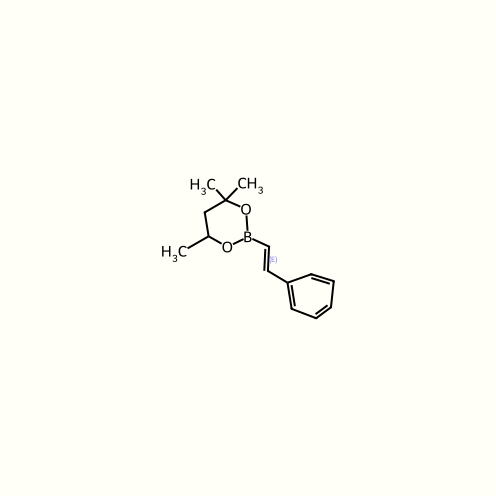 CC1CC(C)(C)OB(/C=C/c2ccccc2)O1